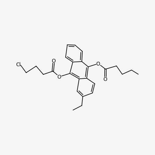 CCCCC(=O)Oc1c2ccccc2c(OC(=O)CCCCl)c2cc(CC)ccc12